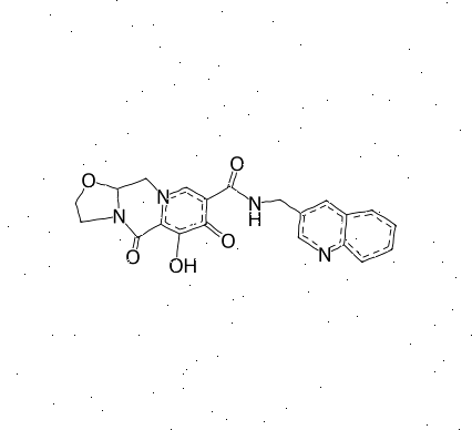 O=C(NCc1cnc2ccccc2c1)c1cn2c(c(O)c1=O)C(=O)N1CCOC1C2